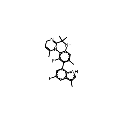 CC1=CCN=C2N1c1c(cc(C)c(-c3cc(F)cc4c(C)c[nH]c34)c1F)NC2(C)C